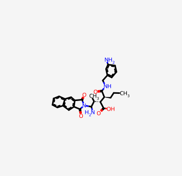 CCC[C@H](C(=O)NCc1cccc(N)c1)[C@H](C(=O)O)C(C)C(N)N1C(=O)c2cc3ccccc3cc2C1=O